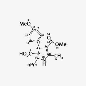 CCCC1=C(C(=O)O)C(c2ccc(OC)cc2)C(C(=O)OC)=C(C)N1